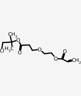 C=CC(=O)OCCOCCC(=O)OC(C)(C)CCl